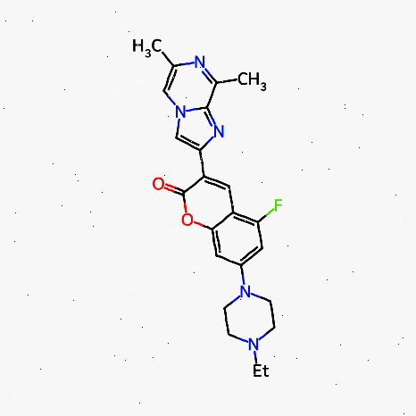 CCN1CCN(c2cc(F)c3cc(-c4cn5cc(C)nc(C)c5n4)c(=O)oc3c2)CC1